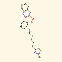 CCOc1nc2ccccc2nc1-c1cccc(/C=C/CCCCc2csc(C(C)C)n2)c1